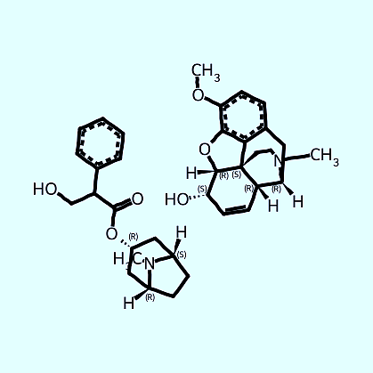 CN1[C@@H]2CC[C@H]1C[C@@H](OC(=O)C(CO)c1ccccc1)C2.COc1ccc2c3c1O[C@H]1[C@@H](O)C=C[C@H]4[C@@H](C2)N(C)CC[C@@]341